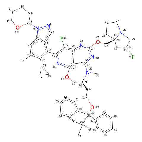 Cc1cc2c(cnn2C2CCCCO2)c(-c2nc3c4c(nc(OC[C@@]56CCCN5C[C@H](F)C6)nc4c2F)N(C)[C@@H](CCO[Si](c2ccccc2)(c2ccccc2)C(C)(C)C)CO3)c1C1CC1